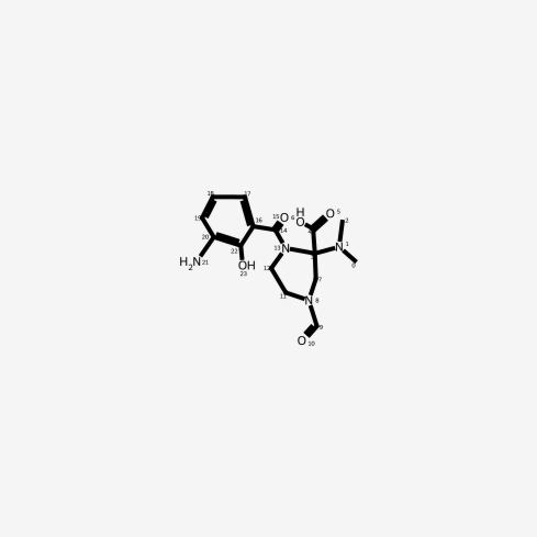 CN(C)C1(C(=O)O)CN(C=O)CCN1C(=O)c1cccc(N)c1O